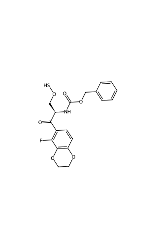 O=C(N[C@H](COS)C(=O)c1ccc2c(c1F)OCCO2)OCc1ccccc1